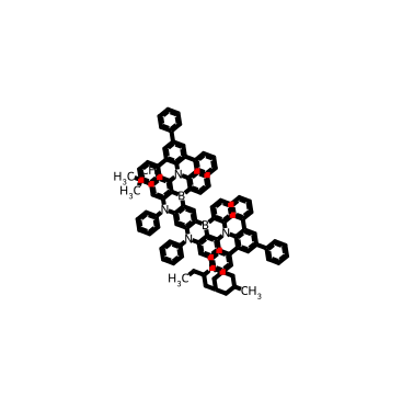 CCC1CC2CC(C)CC(C2)N1c1cc2c3c(c1)N(c1c(-c4ccccc4)cc(-c4ccccc4)cc1-c1ccccc1)c1ccccc1B3c1cc3c(cc1N2c1ccccc1)N(c1ccccc1)c1cc(C(C)(C)C)cc2c1B3c1ccccc1N2c1c(-c2ccccc2)cc(-c2ccccc2)cc1-c1ccccc1